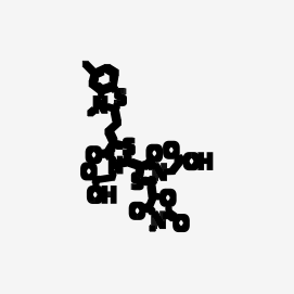 Cc1ccc2c(c1)N(C)C(=CC=c1s/c(=c3/s/c(=C4/OC(=O)N(C)C4=O)n(CC(=O)O)c3=O)n(CC(=O)O)c1=O)S2